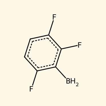 Bc1c(F)ccc(F)c1F